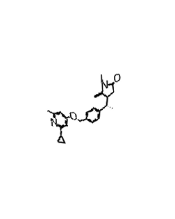 C=C1C([C@H](C)c2ccc(COc3cc(C)nc(C4CC4)c3)cc2)CC(=O)N1I